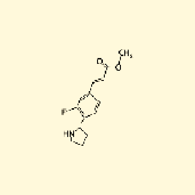 COC(=O)/C=C/c1ccc([C@@H]2CCCN2)c(F)c1